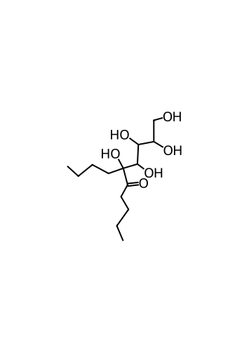 CCCCC(=O)C(O)(CCCC)C(O)C(O)C(O)CO